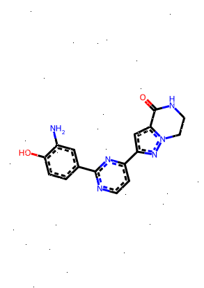 Nc1cc(-c2nccc(-c3cc4n(n3)CCNC4=O)n2)ccc1O